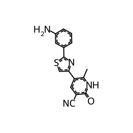 Cc1[nH]c(=O)c(C#N)cc1-c1csc(-c2cccc(N)c2)n1